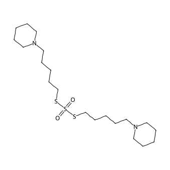 O=S(=O)(SCCCCCN1CCCCC1)SCCCCCN1CCCCC1